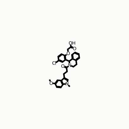 COc1ccc2c(c1)c(CCC(=O)N1CCc3ccccc3C1c1cc(Cl)ccc1OCC(=O)O)cn2C